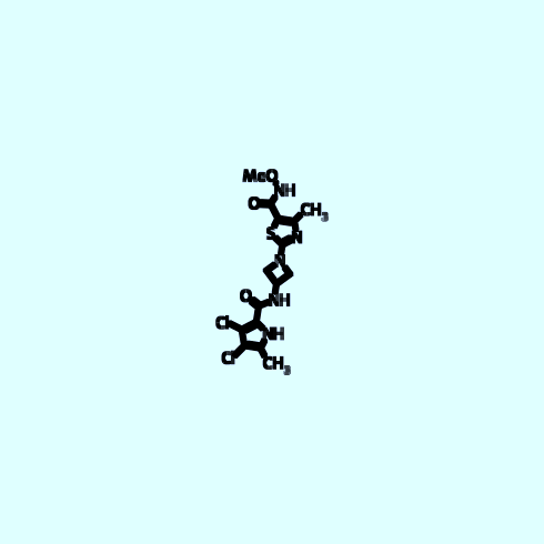 CONC(=O)c1sc(N2CC(NC(=O)c3[nH]c(C)c(Cl)c3Cl)C2)nc1C